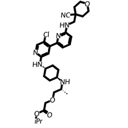 CC(C)OC(=O)COC[C@@H](C)N[C@H]1CC[C@H](Nc2cc(-c3cccc(NCC4(C#N)CCOCC4)n3)c(Cl)cn2)CC1